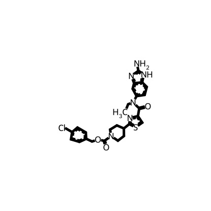 CCN(C(=O)c1csc(C2CCN(C(=O)OCc3ccc(Cl)cc3)CC2)n1)c1ccc2[nH]c(N)nc2c1